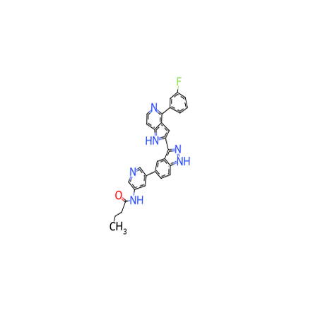 CCCC(=O)Nc1cncc(-c2ccc3[nH]nc(-c4cc5c(-c6cccc(F)c6)nccc5[nH]4)c3c2)c1